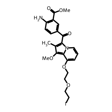 COC(=O)c1cc(C(=O)c2c(C)c(OC)c3c(OCCOCCI)cccn23)ccc1N